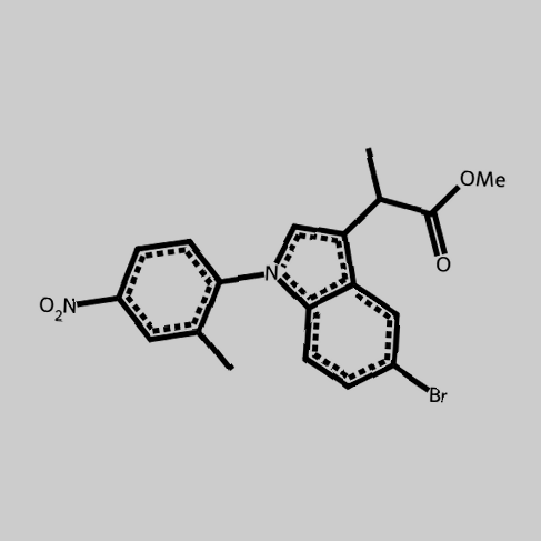 COC(=O)C(C)c1cn(-c2ccc([N+](=O)[O-])cc2C)c2ccc(Br)cc12